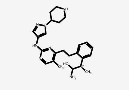 C[C@H](c1ccccc1CCc1nc(Nc2cnn(C3CCNCC3)c2)ncc1C(F)(F)F)C(N)O